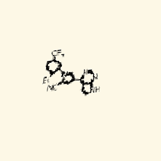 CCc1ccc(C(F)(F)F)cc1-n1cc(-c2ncnc3[nH]ccc23)cc1C#N